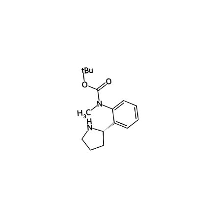 CN(C(=O)OC(C)(C)C)c1ccccc1[C@@H]1CCCN1